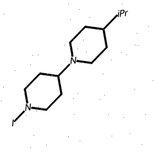 CC(C)C1CCN(C2CCN(I)CC2)CC1